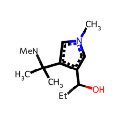 CCC(O)c1cn(C)cc1C(C)(C)NC